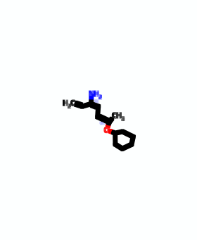 C=C/C(N)=C\C=C(/C)OC1CCCCC1